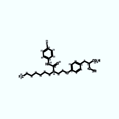 CCOC(Cc1ccc(OCCN(CCCCCCC(F)(F)F)C(=O)Nc2ccc(F)cc2)cc1)C(=O)O